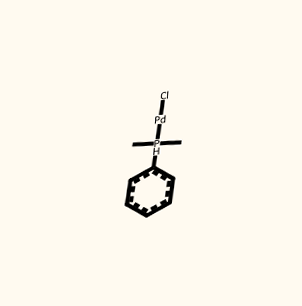 C[PH](C)([Pd][Cl])c1ccccc1